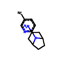 N#Cc1ccc(N2C3CCC2CC(N)C3)nc1